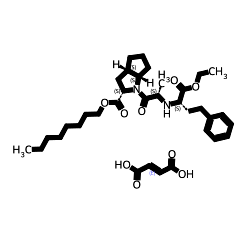 CCCCCCCCOC(=O)[C@@H]1C[C@@H]2CCC[C@@H]2N1C(=O)[C@H](C)N[C@@H](CCc1ccccc1)C(=O)OCC.O=C(O)/C=C/C(=O)O